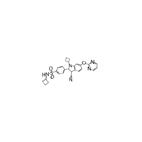 N#CC1c2ccc(Oc3ncccn3)cc2N(C2CCC2)C1c1ccc(S(=O)(=O)NC2CCC2)cc1